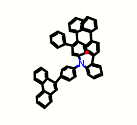 c1ccc(-c2ccc(-c3ccccc3N(c3ccc(-c4cc5ccccc5c5ccccc45)cc3)c3ccc(-c4ccccc4)c(-c4ccccc4)c3)cc2)cc1